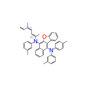 C=C/C(C)=C\C=C(/C)N(c1cccc(C)c1)c1c2ccccc2c(N(c2ccc(C)cc2)c2cccc(C)c2)c2c1oc1ccccc12